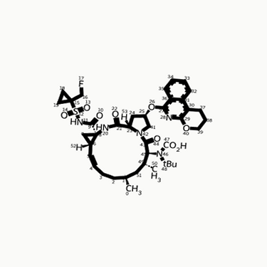 C[C@H]1CC/C=C\[C@@H]2C[C@@]2(C(=O)NS(=O)(=O)C2(CF)CC2)NC(=O)[C@@H]2C[C@@H](Oc3nc4c(c5ccccc35)CCCO4)CN2C(=O)[C@@H](N(C(=O)O)C(C)(C)C)[C@H](C)C1